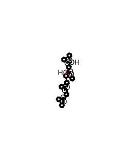 O=P1(Cc2ccc(CP3(=O)Oc4ccc(-c5cccc6c5-c5ccccc5OP6(=O)C(O)c5ccc(C(O)P6(=O)Oc7ccccc7-c7ccccc76)cc5)cc4-c4ccccc43)cc2)Oc2ccccc2-c2ccccc21